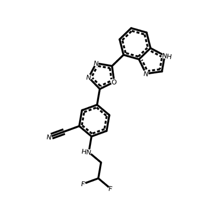 N#Cc1cc(-c2nnc(-c3cccc4[nH]cnc34)o2)ccc1NCC(F)F